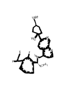 COC1CCC(O)(c2cc3c(N[C@H](C)c4cccc(C(F)F)c4F)ccnc3cn2)CC1